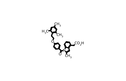 Cc1cc(C)c(CCOc2ccc(C(=O)n3c(C)cc4c(CC(=O)O)cccc43)cc2)c(C)c1